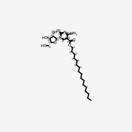 CCCCCCCCCCCCCCCCCOC(=O)c1cn([C@@H]2O[C@H](CO)[C@@H](O)[C@@H]2O)c(=O)nc1N